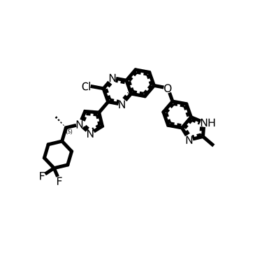 Cc1nc2ccc(Oc3ccc4nc(Cl)c(-c5cnn([C@@H](C)C6CCC(F)(F)CC6)c5)nc4c3)cc2[nH]1